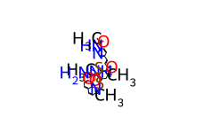 CNC(Oc1cccc2ccc(C)nc12)(C(=O)CN)C1C(=S)CC(C)=C(C(=O)C=Cc2ccc(NC(C)=O)nc2)C1=S